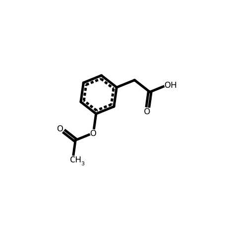 CC(=O)Oc1cccc(CC(=O)O)c1